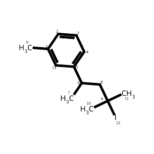 Cc1cccc(C(C)CC(C)(C)I)c1